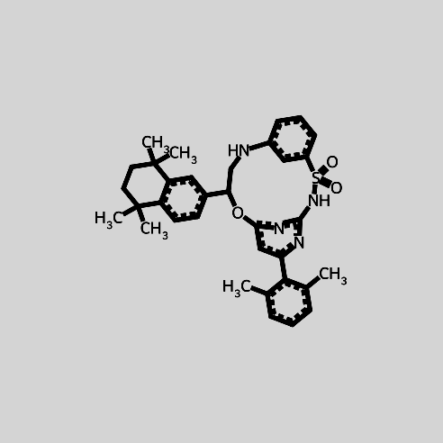 Cc1cccc(C)c1-c1cc2nc(n1)NS(=O)(=O)c1cccc(c1)NCC(c1ccc3c(c1)C(C)(C)CCC3(C)C)O2